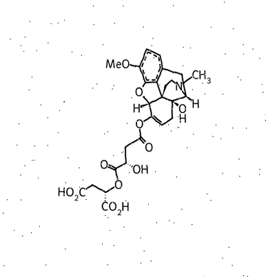 COc1ccc2c3c1O[C@H]1C(OC(=O)C[C@H](O)C(=O)O[C@@H](CC(=O)O)C(=O)O)=CC[C@@]4(O)[C@@H](C2)N(C)CC[C@]314